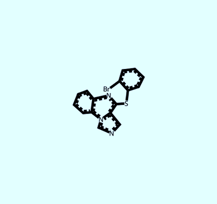 Brc1ccccc1Sc1nc2ccccc2n2cncc12